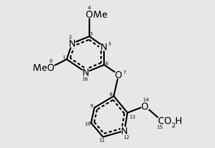 COc1nc(OC)nc(Oc2cccnc2OC(=O)O)n1